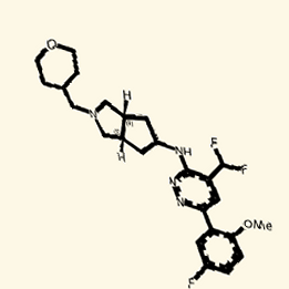 COc1ccc(F)cc1-c1cc(C(F)F)c(NC2C[C@@H]3CN(CC4CCOCC4)C[C@@H]3C2)nn1